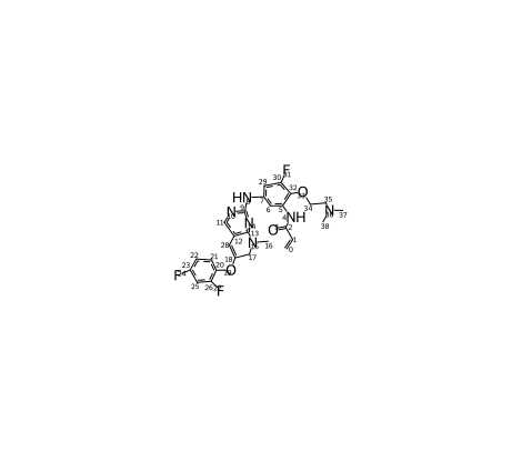 C=CC(=O)Nc1cc(Nc2ncc3c(n2)N(C)CC(Oc2ccc(F)cc2F)=C3)cc(F)c1OCCN(C)C